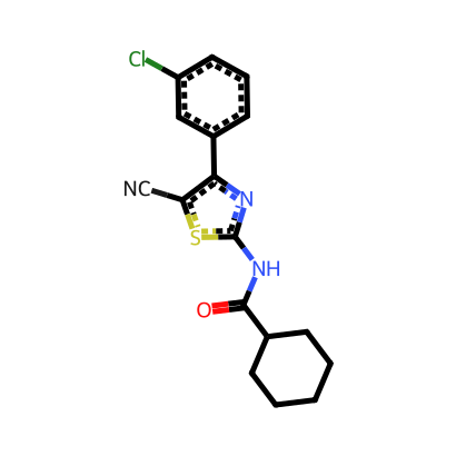 N#Cc1sc(NC(=O)C2CCCCC2)nc1-c1cccc(Cl)c1